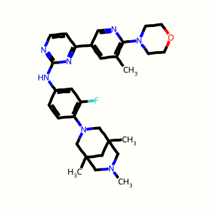 Cc1cc(-c2ccnc(Nc3ccc(N4CC5(C)CN(C)CC(C)(C4)C5)c(F)c3)n2)cnc1N1CCOCC1